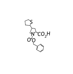 O=C(O)[C@@H]1CC(C2CCCS2)CN1C(=O)OCc1ccccc1